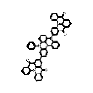 O=c1c2ccccc2n2c3ccc(N4c5ccccc5B5c6ccc(-c7cc8c(=O)c9ccccc9n9c%10ccccc%10c(=O)c(c7)c89)cc6N(c6ccccc6)c6cccc4c65)cc3c(=O)c3cccc1c32